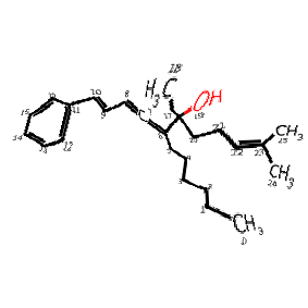 CCCCCCC(=C=CC=Cc1ccccc1)C(C)(O)CCC=C(C)C